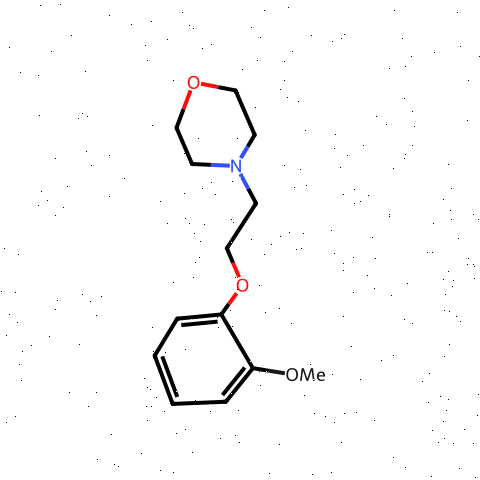 COc1ccccc1OCCN1CCOCC1